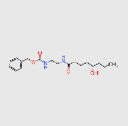 CCC[C@H](O)CCCC(=O)NCCNC(=O)OCc1ccccc1